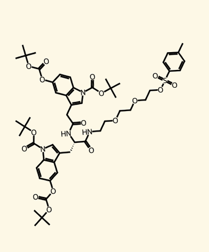 Cc1ccc(S(=O)(=O)OCCOCCOCCNC(=O)[C@H](Cc2cn(C(=O)OC(C)(C)C)c3ccc(OC(=O)OC(C)(C)C)cc23)NC(=O)Cc2cn(C(=O)OC(C)(C)C)c3ccc(OC(=O)OC(C)(C)C)cc23)cc1